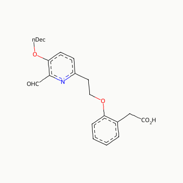 CCCCCCCCCCOc1ccc(CCOc2ccccc2CC(=O)O)nc1C=O